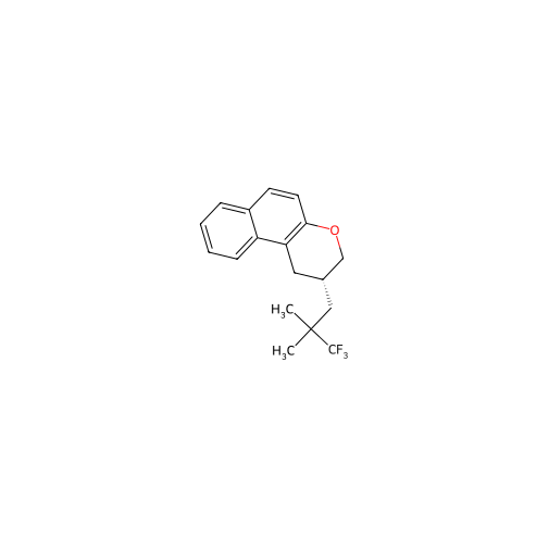 CC(C)(C[C@H]1COc2ccc3ccccc3c2C1)C(F)(F)F